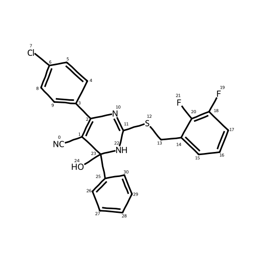 N#CC1=C(c2ccc(Cl)cc2)N=C(SCc2cccc(F)c2F)NC1(O)c1ccccc1